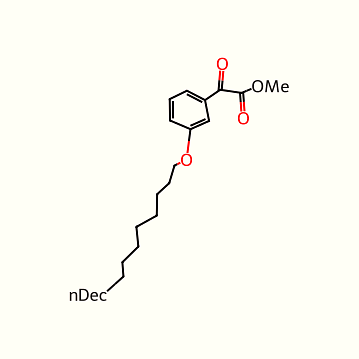 CCCCCCCCCCCCCCCCCCOc1cccc(C(=O)C(=O)OC)c1